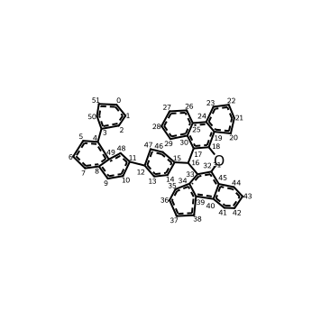 c1ccc(-c2cccc3ccc(-c4ccc(C5c6c(c7ccccc7c7ccccc67)Oc6c5c5ccccc5c5ccccc65)cc4)cc23)cc1